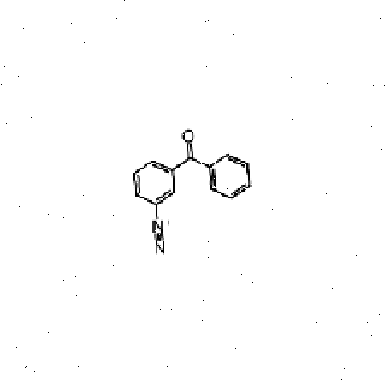 N#[N+]c1cccc(C(=O)c2ccccc2)c1